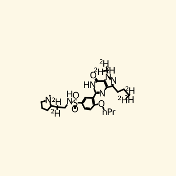 [2H]C([2H])([2H])CCc1nn(C([2H])([2H])[2H])c2c(=O)[nH]c(-c3cc(S(=O)(=O)NCC([2H])([2H])C4CCCN4C)ccc3OCCC)nc12